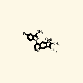 CC1=C(C)S(=O)(=O)c2cc3c(-n4nc(N)c5cc(F)ccc54)ccnc3cc21